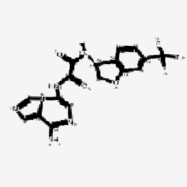 CN(C(=O)C(=O)Nc1cnc(N)c2cncn12)[C@@H]1COc2cc(C(F)(F)F)ccc21